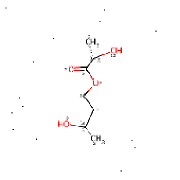 C[C@H](O)CCOC(=O)[C@H](C)O